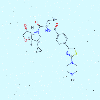 CCN1CCN(c2nc(-c3ccc(C(=O)N[C@@H](CC(C)C)C(=O)N4C[C@H](C5CC5)[C@H]5OCC(=O)[C@H]54)cc3)cs2)CC1